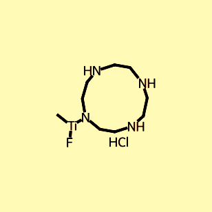 Cl.[CH3][Ti]([F])[N]1CCNCCNCCNCC1